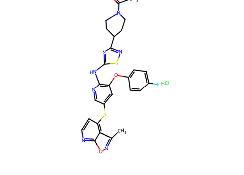 CC(=O)N1CCC(c2nsc(Nc3ncc(Sc4ccnc5onc(C)c45)cc3Oc3ccc(F)cc3)n2)CC1.Cl